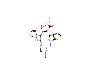 CN1CCN(c2nc(C3=C(c4c[nH]c5sccc45)C(=O)NC3=O)c3c(F)cccc3n2)CC1